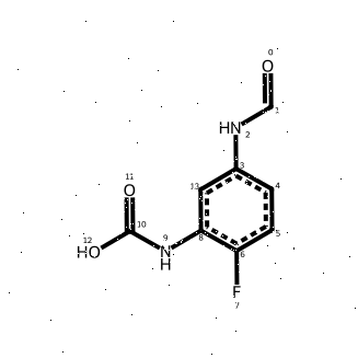 O=CNc1ccc(F)c(NC(=O)O)c1